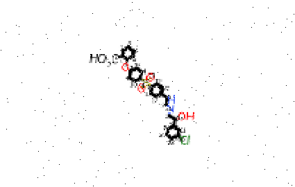 O=C(O)c1ccccc1Oc1ccc(S(=O)(=O)c2ccc(CCNC[C@H](O)c3cccc(Cl)c3)cc2)cc1